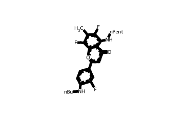 CCCCCNc1c(F)c(C)c(F)c2oc(-c3ccc(NCCCC)c(F)c3)cc(=O)c12